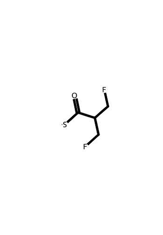 O=C([S])C(CF)CF